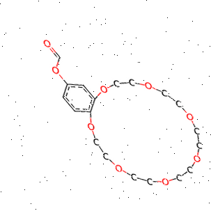 O=COc1ccc2c(c1)OCCOCCOCCOCCOCCOCCO2